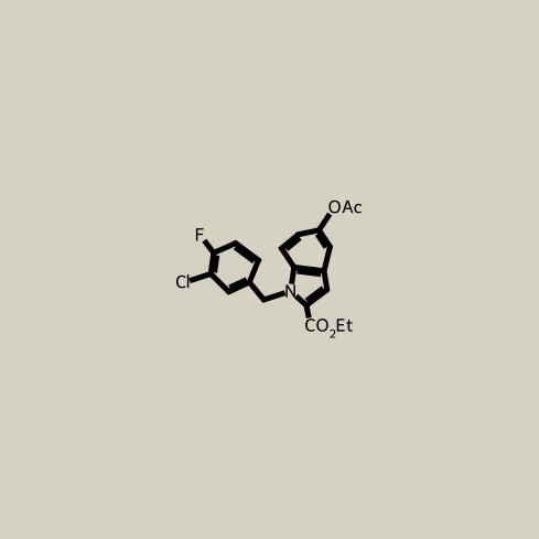 CCOC(=O)c1cc2cc(OC(C)=O)ccc2n1Cc1ccc(F)c(Cl)c1